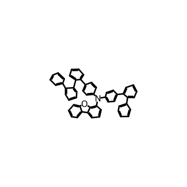 c1ccc(-c2ccccc2-c2ccc(N(c3ccc(-c4ccccc4-c4ccccc4-c4ccccc4)cc3)c3cccc4c3oc3ccccc34)cc2)cc1